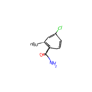 CCCCc1cc(Cl)ccc1C(N)=O